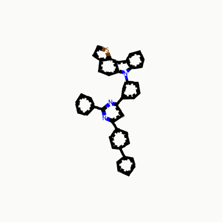 c1ccc(-c2ccc(-c3cc(-c4cccc(-n5c6ccccc6c6c7sccc7ccc65)c4)nc(-c4ccccc4)n3)cc2)cc1